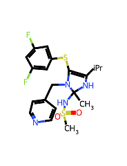 CC(C)C1=C(Sc2cc(F)cc(F)c2)N(Cc2ccncc2)C(C)(NS(C)(=O)=O)N1